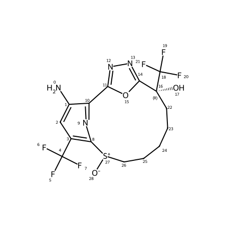 Nc1cc(C(F)(F)F)c2nc1-c1nnc(o1)[C@@](O)(C(F)(F)F)CCCCC[S+]2[O-]